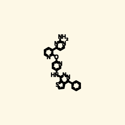 Nc1nccc(-c2cccnc2Oc2ccc(Nc3nnc(-c4ccccc4)c4ccsc34)cn2)n1